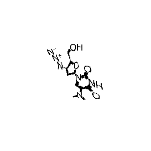 CN(C)c1cn([C@H]2C[C@H](N=[N+]=[N-])[C@@H](CO)O2)c(=O)[nH]c1=O